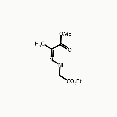 CCOC(=O)CNN=C(C)C(=O)OC